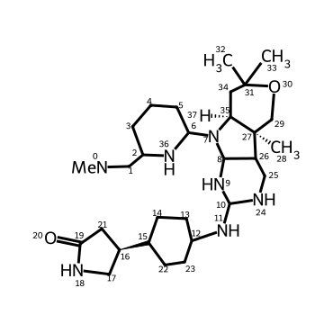 CNCC1CCCC(N2C3NC(NC4CCC([C@H]5CNC(=O)C5)CC4)NCC3[C@]3(C)COC(C)(C)C[C@H]23)N1